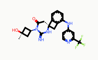 C[C@]1(O)C[C@@H](N2C(=N)N[C@]3(CC2=O)Cc2c(Nc4ccnc(C(F)(F)F)c4)cccc23)C1